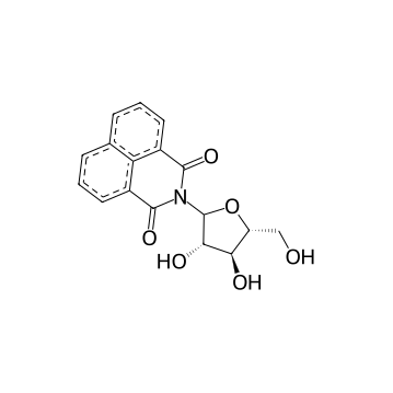 O=C1c2cccc3cccc(c23)C(=O)N1C1O[C@H](CO)[C@@H](O)[C@@H]1O